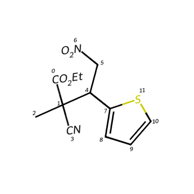 CCOC(=O)C(C)(C#N)C(C[N+](=O)[O-])c1cccs1